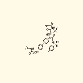 CC(C)(F)C[C@H](N[C@@H](c1ccc(-c2ccc([C@@H]3C[C@H]3C(=O)NC3CC3)cc2)cc1)C(F)F)C(=O)NC1(C#N)CC1.Cc1ccc(S(=O)(=O)O)cc1